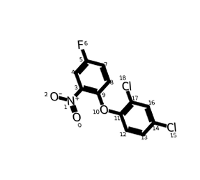 O=[N+]([O-])c1cc(F)ccc1Oc1ccc(Cl)cc1Cl